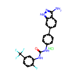 Cl.Nc1n[nH]c2cc(-c3ccc(NC(=O)Nc4cc(C(F)(F)F)ccc4F)cc3)ccc12